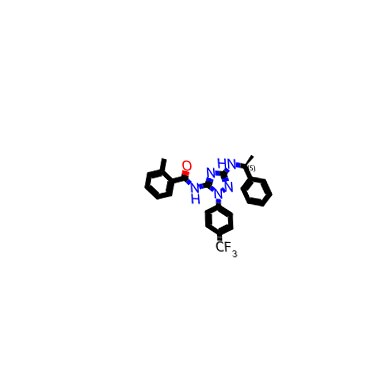 Cc1ccccc1C(=O)Nc1nc(N[C@@H](C)c2ccccc2)nn1-c1ccc(C(F)(F)F)cc1